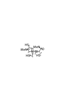 CNC(=O)[C@H](CS)NC[C@H](CS)NC[C@H](CS)NC